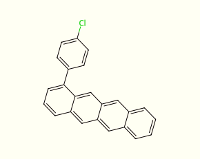 Clc1ccc(-c2cccc3cc4cc5ccccc5cc4cc23)cc1